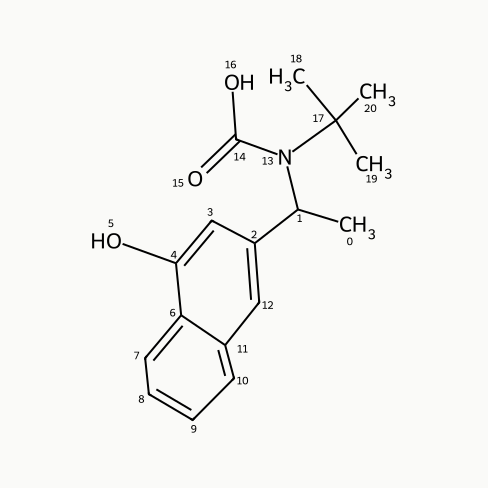 CC(c1cc(O)c2ccccc2c1)N(C(=O)O)C(C)(C)C